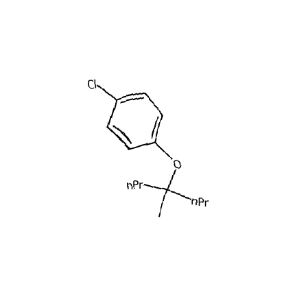 CCCC(C)(CCC)Oc1ccc(Cl)cc1